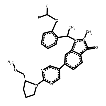 COC[C@H]1CCCN1c1ncc(-c2ccc3c(=O)n(C)n(C(C)c4ccccc4OC(F)F)c3c2)cn1